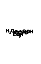 CN(C)CC(O)CSOOO